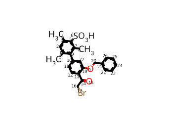 Cc1cc(C)c(S(=O)(=O)O)c(C)c1-c1ccc(C(=O)CBr)c(OCc2ccccc2)c1